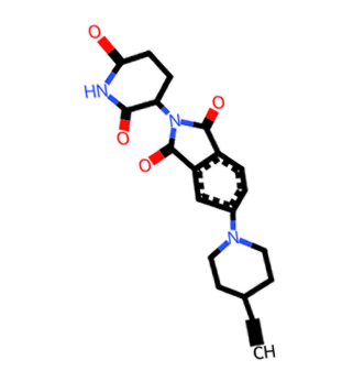 C#CC1CCN(c2ccc3c(c2)C(=O)N(C2CCC(=O)NC2=O)C3=O)CC1